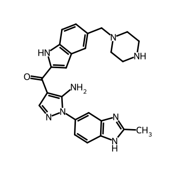 Cc1nc2cc(-n3ncc(C(=O)c4cc5cc(CN6CCNCC6)ccc5[nH]4)c3N)ccc2[nH]1